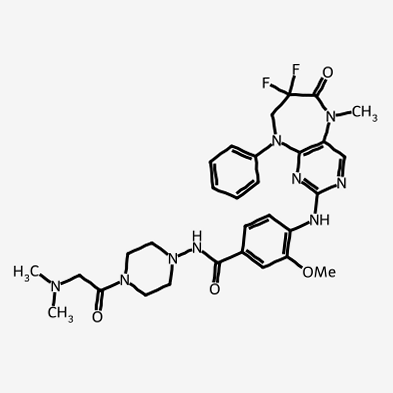 COc1cc(C(=O)NN2CCN(C(=O)CN(C)C)CC2)ccc1Nc1ncc2c(n1)N(c1ccccc1)CC(F)(F)C(=O)N2C